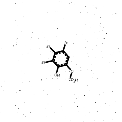 CCc1c(Br)cc(OC(=O)O)c(O)c1CC